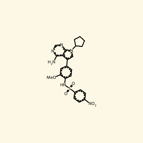 COc1cc(-c2cn(C3CCCC3)c3ncnc(N)c23)ccc1NS(=O)(=O)c1ccc([N+](=O)[O-])cc1